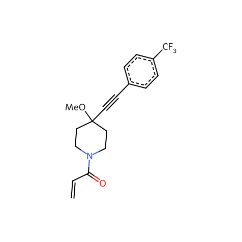 C=CC(=O)N1CCC(C#Cc2ccc(C(F)(F)F)cc2)(OC)CC1